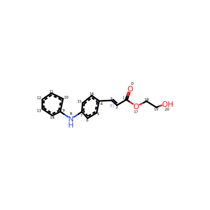 O=C(/C=C/c1ccc(Nc2ccccc2)cc1)OCCO